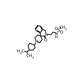 CC(C)C1CCC(N2CCC3(CC2)C(=O)N(CCNS(C)(=O)=O)Cc2ccccc23)CC1